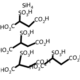 O=C(O)CC(C(=O)O)S(=O)(=O)O.O=C(O)CC(C(=O)O)S(=O)(=O)O.O=C(O)CC(C(=O)O)S(=O)(=O)O.O=C(O)CC(C(=O)O)S(=O)(=O)O.[SiH4]